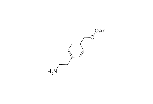 CC(=O)OOCc1ccc(CCN)cc1